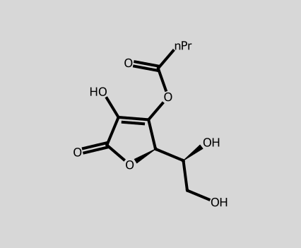 CCCC(=O)OC1=C(O)C(=O)O[C@@H]1[C@@H](O)CO